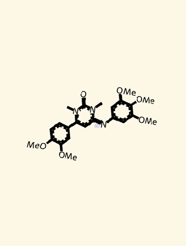 COc1ccc(-c2c/c(=N/c3cc(OC)c(OC)c(OC)c3)n(C)c(=O)n2C)cc1OC